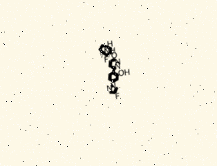 C[C@@]12CC[C@@H](C[C@H](Oc3ccc(-c4ccc(-n5cc(F)cn5)cc4O)nn3)[C@@H]1F)N2